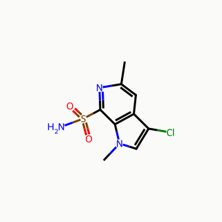 Cc1cc2c(Cl)cn(C)c2c(S(N)(=O)=O)n1